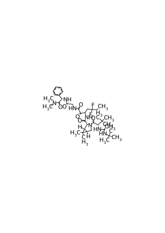 CCC(F)(F)CC(NC(=O)[C@@H]1[C@@H]2[C@H](CN1C(=O)[C@@H](NC(=O)NC(C)(C)C)C(C)(C)C)C2(C)C)C(=O)C(=O)NCC(=O)N[C@H](C(=O)N(C)C)c1ccccc1